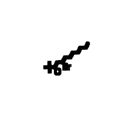 CCCCCCCC(Br)CC(=O)C(C)(C)C